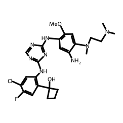 COc1cc(N(C)CCN(C)C)c(N)cc1Nc1ncnc(Nc2cc(Cl)c(F)cc2C2(O)CCC2)n1